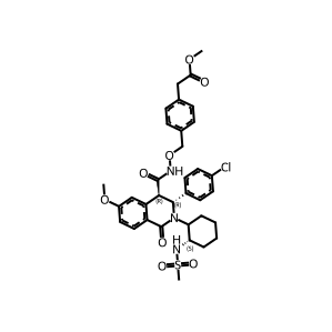 COC(=O)Cc1ccc(CONC(=O)[C@@H]2c3cc(OC)ccc3C(=O)N(C3CCCC[C@@H]3NS(C)(=O)=O)[C@H]2c2ccc(Cl)cc2)cc1